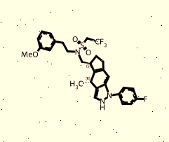 COc1cccc(CCN(C[C@H]2CCC3=C2[C@@H](C)C2=CNN(c4ccc(F)cc4)C2=C3)S(=O)(=O)CC(F)(F)F)c1